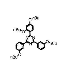 CCCCOc1cccc(-c2nc(-c3cccc(OCCCC)c3)nc(-c3ccc(OCCCC)cc3OCCCC)n2)c1